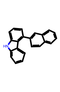 c1ccc2cc(-c3cccc4[nH]c5ccccc5c34)ccc2c1